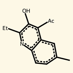 CCc1nc2ccc(C)cc2c(C(C)=O)c1O